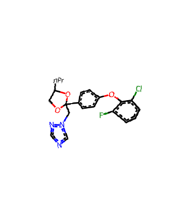 CCCC1COC(Cn2cncn2)(c2ccc(Oc3c(F)cccc3Cl)cc2)O1